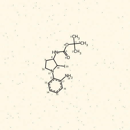 CC(C)(C)OC(=O)NC1CCN(c2ccccc2N)C1I